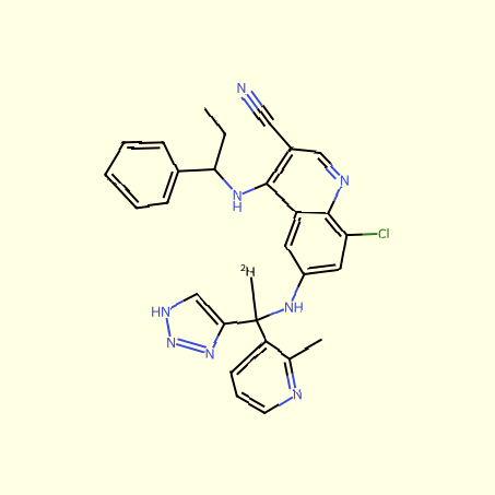 [2H]C(Nc1cc(Cl)c2ncc(C#N)c(NC(CC)c3ccccc3)c2c1)(c1c[nH]nn1)c1cccnc1C